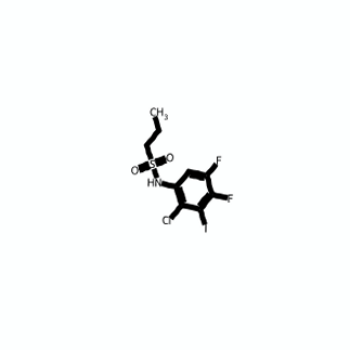 CCCS(=O)(=O)Nc1cc(F)c(F)c(I)c1Cl